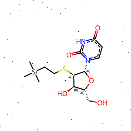 C[Si](C)(C)CCS[C@@H]1[C@H](O)[C@@H](CO)O[C@H]1n1ccc(=O)[nH]c1=O